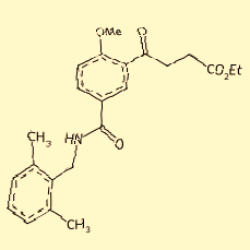 CCOC(=O)CCC(=O)c1cc(C(=O)NCc2c(C)cccc2C)ccc1OC